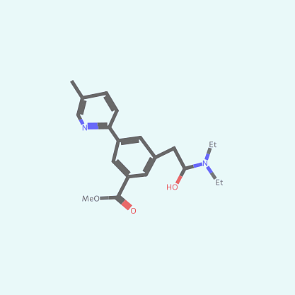 CCN(CC)C(O)Cc1cc(C(=O)OC)cc(-c2ccc(C)cn2)c1